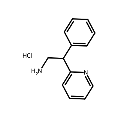 Cl.NCC(c1ccccc1)c1ccccn1